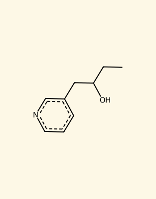 CCC(O)Cc1cccnc1